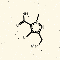 CNCc1nn(C)c(C(N)=O)c1Br